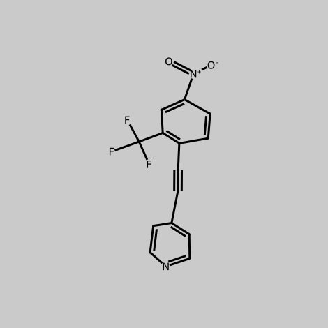 O=[N+]([O-])c1ccc(C#Cc2ccncc2)c(C(F)(F)F)c1